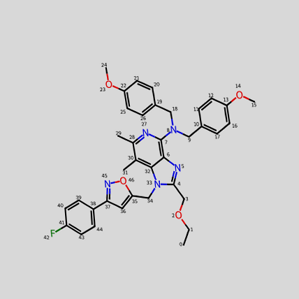 CCOCc1nc2c(N(Cc3ccc(OC)cc3)Cc3ccc(OC)cc3)nc(C)c(C)c2n1Cc1cc(-c2ccc(F)cc2)no1